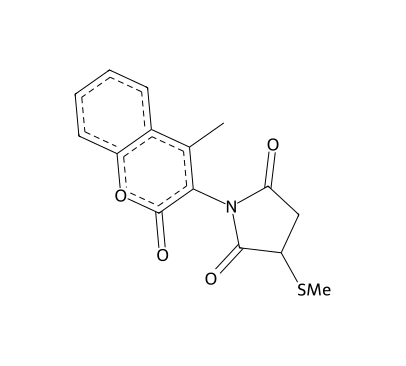 CSC1CC(=O)N(c2c(C)c3ccccc3oc2=O)C1=O